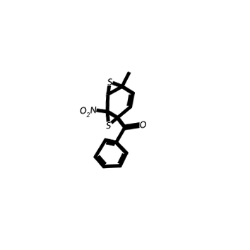 CC12C=CC3(C(=O)c4ccccc4)SC3([N+](=O)[O-])C1S2